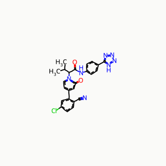 CC(C)C(C(=O)Nc1ccc(-c2nnn[nH]2)cc1)n1ccc(-c2cc(Cl)ccc2C#N)cc1=O